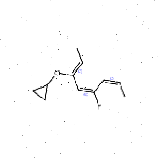 C\C=C/C(F)=C\C(=C\C)OC1CC1